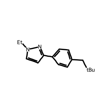 CCn1ccc(-c2ccc(CC(C)(C)C)cc2)n1